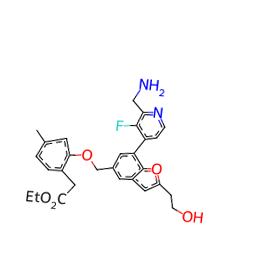 CCOC(=O)Cc1ccc(C)cc1OCc1cc(-c2ccnc(CN)c2F)c2oc(CCO)cc2c1